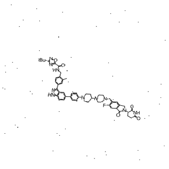 Cc1cc(-c2n[nH]c3ccc(-c4ccc(N5CCC(N6CCN(Cc7cc8c(cc7F)C(=O)N(C7CCC(=O)NC7=O)C8)CC6)CC5)cc4)cc23)ccc1CNC(=O)c1nc(C(C)(C)C)no1